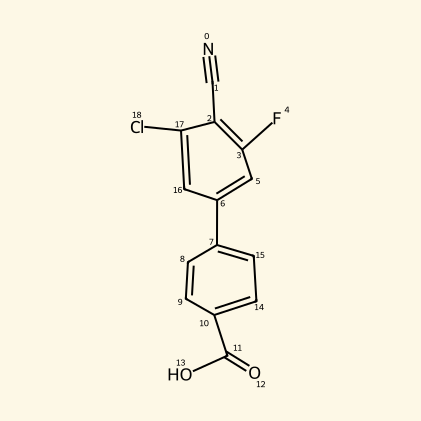 N#Cc1c(F)cc(-c2ccc(C(=O)O)cc2)cc1Cl